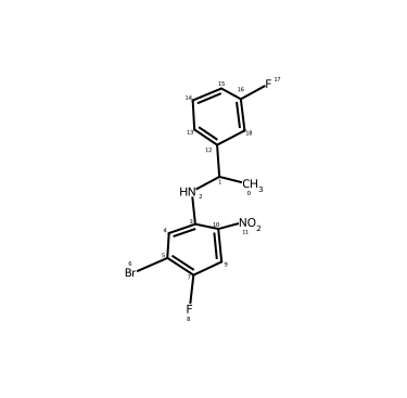 CC(Nc1cc(Br)c(F)cc1[N+](=O)[O-])c1cccc(F)c1